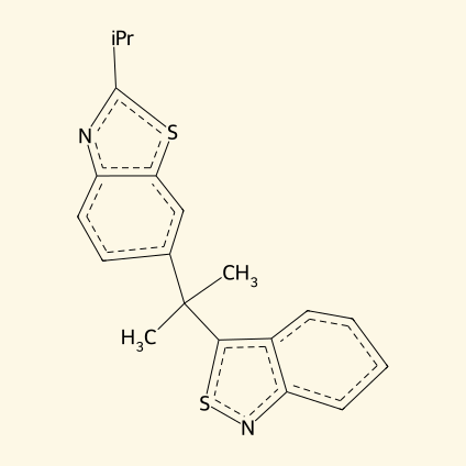 CC(C)c1nc2ccc(C(C)(C)c3snc4ccccc34)cc2s1